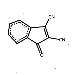 N#CC1=C(C#N)c2ccccc2C1=O